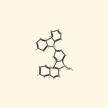 Nn1c2ccc(-n3c4ccccc4c4ccccc43)cc2c2c3ccccc3ccc21